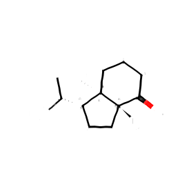 CC(C(=O)O)[C@H]1CC[C@H]2C(=O)CCC[C@]12C